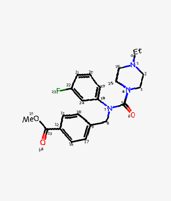 CCN1CCN(C(=O)N(Cc2ccc(C(=O)OC)cc2)c2cccc(F)c2)CC1